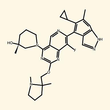 Cc1cc2[nH]ncc2c(-c2ncc3c(N4CCC[C@@](C)(O)C4)nc(OCC4(C)CCCN4C)nc3c2F)c1C1CC1